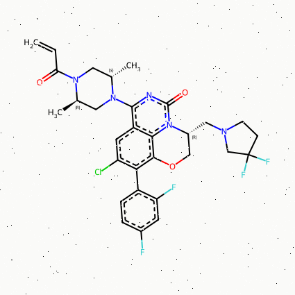 C=CC(=O)N1C[C@H](C)N(c2nc(=O)n3c4c(c(-c5ccc(F)cc5F)c(Cl)cc24)OC[C@H]3CN2CCC(F)(F)C2)C[C@H]1C